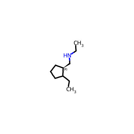 CCNC[C@@H]1CCCC1CC